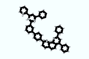 c1ccc(-c2cc(-c3ccccn3)nc(-c3cccc(-c4ccc(-c5ccc6ccc7c(-c8ccccc8)cc(-c8ccccc8)nc7c6n5)cc4)c3)n2)cc1